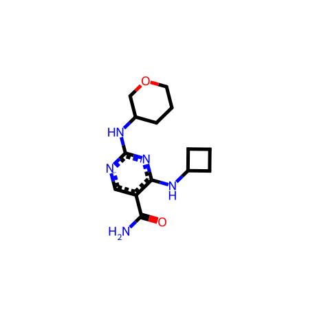 NC(=O)c1cnc(NC2CCCOC2)nc1NC1CCC1